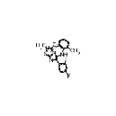 Cc1cccc(C)c1Nc1c(-c2ccc(F)cc2I)nc2sc(C)c(C)n12